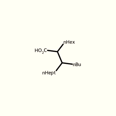 CCCCCCCC(CCCC)C(CCCCCC)C(=O)O